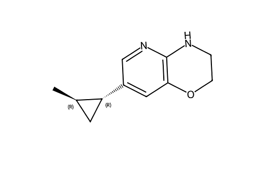 C[C@@H]1C[C@H]1c1cnc2c(c1)OCCN2